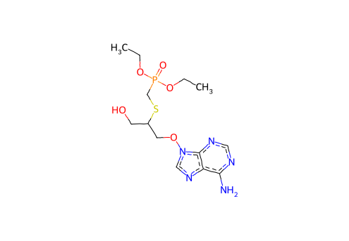 CCOP(=O)(CSC(CO)COn1cnc2c(N)ncnc21)OCC